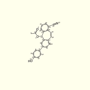 CC(=O)OC1c2cc(-c3ccc(O)cc3)cnc2C=Cc2c(C#N)cccc21